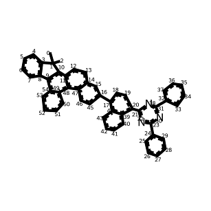 CC1(C)c2ccccc2-c2c1c1ccc3cc(-c4ccc(-c5nc(-c6ccccc6)nc(-c6ccccc6)n5)c5ccccc45)ccc3c1c1ccccc21